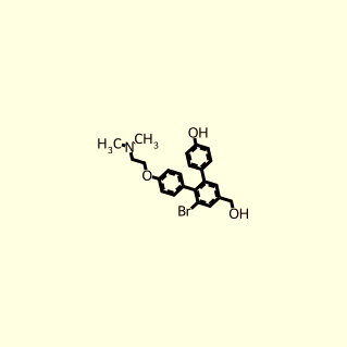 CN(C)CCOc1ccc(-c2c(Br)cc(CO)cc2-c2ccc(O)cc2)cc1